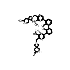 CNc1nc(-c2cccc(-c3cccc(-c4cnc(CN5CC6(CNC(O)C6)C5)c(NC)n4)c3Cl)c2Cl)cnc1CN1CC2(CNC(=O)C2)C1